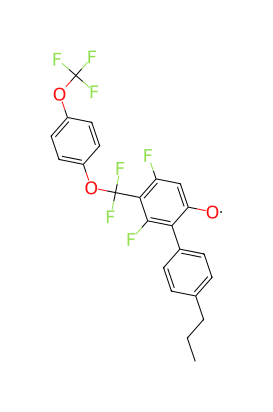 CCCc1ccc(-c2c([O])cc(F)c(C(F)(F)Oc3ccc(OC(F)(F)F)cc3)c2F)cc1